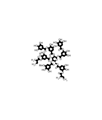 C=CC(=C)C(=O)Oc1cc(C(=O)OC[C@H]2O[C@@H](OC(=O)c3cc(O)c(O)c(OC(=O)c4cc(O)c(O)c(O)c4)c3)[C@H](OC(=O)c3cc(O)c(O)c(OC(=O)c4cc(O)c(O)c(O)c4)c3)[C@@H](OC(=O)c3cc(O)c(O)c(OC(=O)C(=C)C=C)c3)[C@@H]2OC(=O)c2cc(O)c(O)c(OC)c2)cc(O)c1O